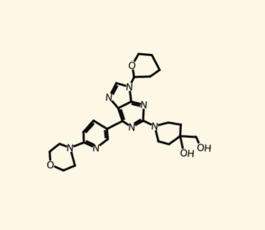 OCC1(O)CCN(c2nc(-c3ccc(N4CCOCC4)nc3)c3ncn(C4CCCCO4)c3n2)CC1